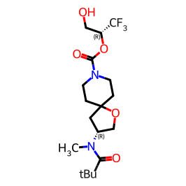 CN(C(=O)C(C)(C)C)[C@H]1COC2(CCN(C(=O)O[C@H](CO)C(F)(F)F)CC2)C1